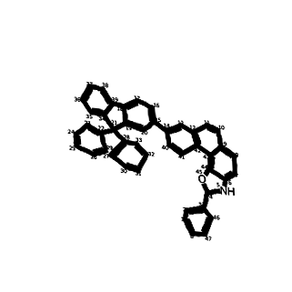 c1ccc(C2Nc3ccc4ccc5cc(-c6ccc7c(c6)C(c6ccccc6)(c6ccccc6)c6ccccc6-7)ccc5c4c3O2)cc1